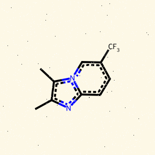 Cc1nc2ccc(C(F)(F)F)cn2c1C